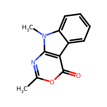 Cc1nc2c(c(=O)o1)c1ccccc1n2C